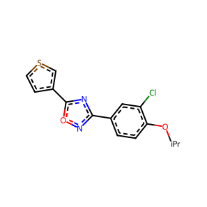 CC(C)Oc1ccc(-c2noc(-c3ccsc3)n2)cc1Cl